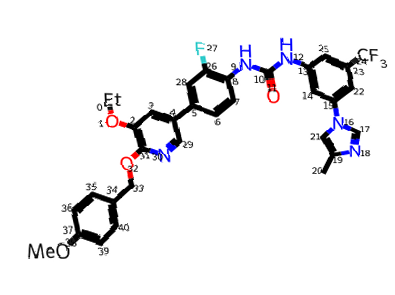 CCOc1cc(-c2ccc(NC(=O)Nc3cc(-n4cnc(C)c4)cc(C(F)(F)F)c3)c(F)c2)cnc1OCc1ccc(OC)cc1